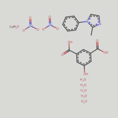 Cc1nccn1-c1ccccc1.O.O.O.O.O.O.O=C(O)c1cc(O)cc(C(=O)O)c1.O=[N+]([O-])[O-].O=[N+]([O-])[O-].[Co+2]